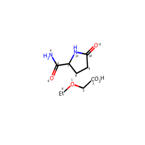 CCOCC(=O)O.NC(=O)C1CCC(=O)N1